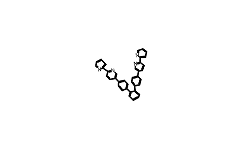 c1ccc(-c2ccc(-c3ccc(-c4ccccc4-c4ccc(-c5ccc(-c6ccccn6)nc5)cc4)cc3)cn2)nc1